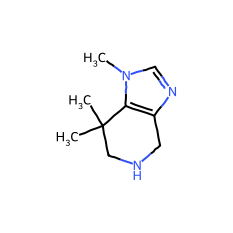 Cn1cnc2c1C(C)(C)CNC2